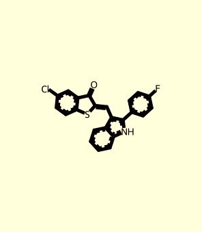 O=C1C(=Cc2c(-c3ccc(F)cc3)[nH]c3ccccc23)Sc2ccc(Cl)cc21